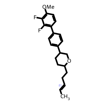 C/C=C/CCC1CCC(c2ccc(-c3ccc(OC)c(F)c3F)cc2)CO1